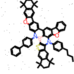 CCCCc1ccc(N2c3c(sc4cc5c(cc34)C(C)(C)CCC5(C)C)B3c4c(cc5c(oc6ccccc65)c42)-c2cc4c(cc2N3c2ccc(-c3ccccc3)cc2)oc2cc3c(cc24)C(C)(C)CCC3(C)C)cc1